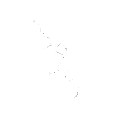 CC(C)NCCNC(=O)c1cccc(OCC(N)OCCOCC(=O)C(C)C)c1